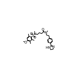 COc1cc(C)c(S(=O)(=O)N(C)CCCC(=O)N(C)CCc2ccc(C3=NCCN3)cc2)c(C)c1C